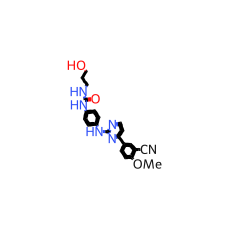 COc1ccc(-c2ccnc(Nc3ccc(NC(=O)NCCCO)cc3)n2)cc1C#N